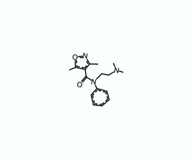 Cc1noc(C)c1C(=O)N(CCN(C)C)c1ccccc1